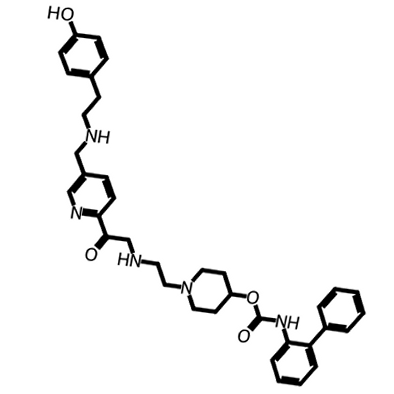 O=C(Nc1ccccc1-c1ccccc1)OC1CCN(CCNCC(=O)c2ccc(CNCCc3ccc(O)cc3)cn2)CC1